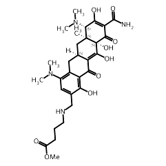 COC(=O)CCCNCc1cc(N(C)C)c2c(c1O)C(=O)C1=C(O)[C@]3(O)C(=O)C(C(N)=O)=C(O)[C@@H](N(C)C)[C@]3(C)C[C@@H]1C2